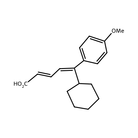 COc1ccc(C(=CC=CC(=O)O)C2CCCCC2)cc1